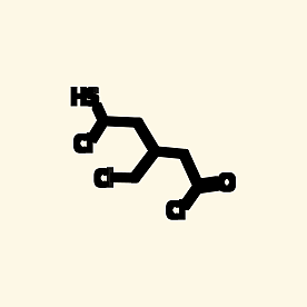 O=C(Cl)CC(CCl)CC(S)Cl